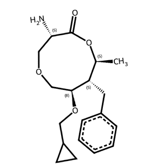 C[C@@H]1OC(=O)[C@@H](N)COC[C@H](OCC2CC2)[C@H]1Cc1ccccc1